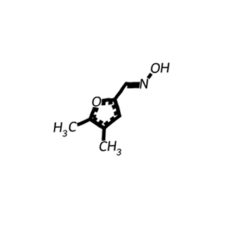 Cc1cc(/C=N/O)oc1C